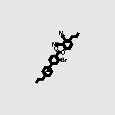 CCCc1ccc(OC(=O)c2ccc(C34CCC(CCC)(CC3)CC4)cc2Br)c(C#N)c1C#N